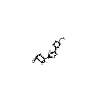 O=[N+]([O-])c1ccc(-c2nnc(-c3ccc(Cl)cc3)o2)cc1